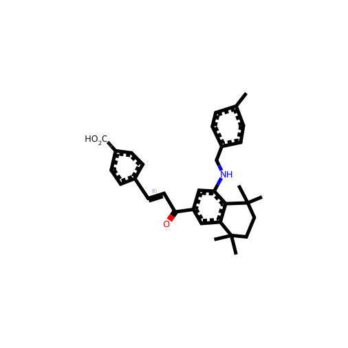 Cc1ccc(CNc2cc(C(=O)/C=C/c3ccc(C(=O)O)cc3)cc3c2C(C)(C)CCC3(C)C)cc1